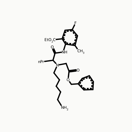 CCCC(C(=O)Nc1c(C)cc(F)cc1C(=O)OCC)N(CCCCCN)CC(=O)OCc1ccccc1